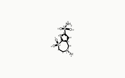 CC(=O)N1CCS(=O)(=O)c2sc(S(N)(=O)=O)cc2C1